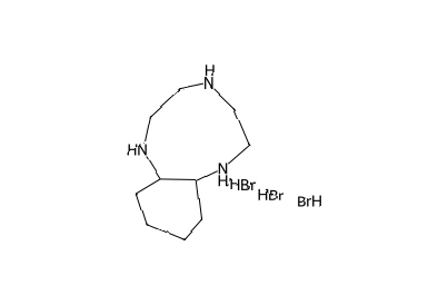 Br.Br.Br.C1CCC2NCCNCCNC2C1